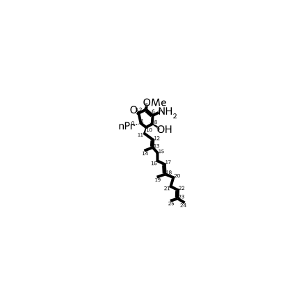 CCC[C@@H]1C(=O)C(OC)=C(N)[C@@H](O)[C@H]1C/C=C(\C)CC/C=C(\C)CCC=C(C)C